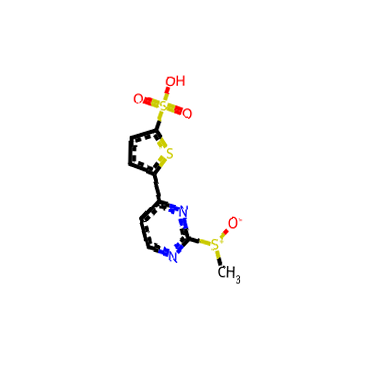 C[S+]([O-])c1nccc(-c2ccc(S(=O)(=O)O)s2)n1